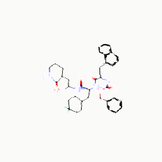 N#CC(CC1CCCNC1=O)NC(=O)C(CC1CCC(F)(F)CC1)NC(=O)C(Cc1cccc2ccccc12)NC(=O)OCc1ccccc1